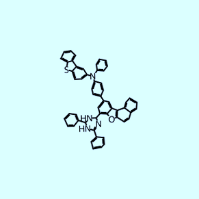 c1ccc(C2=NC(c3cc(-c4ccc(N(c5ccccc5)c5ccc6sc7ccccc7c6c5)cc4)cc4c3oc3ccc5ccccc5c34)NC(c3ccccc3)N2)cc1